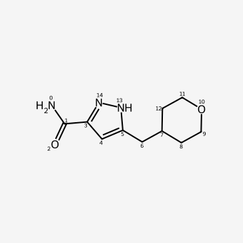 NC(=O)c1cc(CC2CCOCC2)[nH]n1